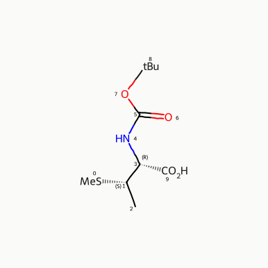 CS[C@@H](C)[C@H](NC(=O)OC(C)(C)C)C(=O)O